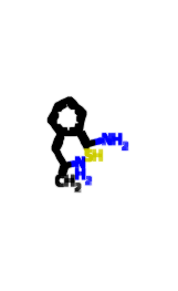 C=C(N)/C=c1/cccc/c1=C(\N)S